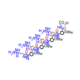 COc1ccc(NC(=O)[C@H](CCCNC(=N)N)NC(=O)c2cc(NC(=O)[C@H](CCCNC(=N)N)NC(=O)c3cc(NC(=O)[C@H](CCCNC(=N)N)NC(=O)c4cc(NC(=O)[C@@H](N)CCCNC(=N)N)ccc4OC)ccc3OC)ccc2OC)cc1C(=O)NCCC(=O)O